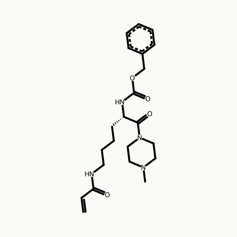 C=CC(=O)NCCCC[C@H](NC(=O)OCc1ccccc1)C(=O)N1CCN(C)CC1